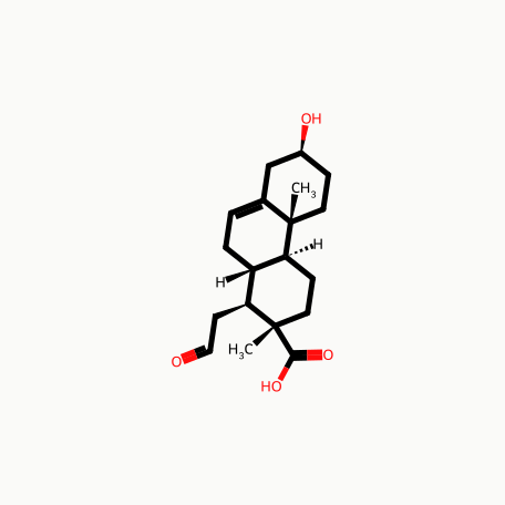 C[C@]12CC[C@H](O)CC1=CC[C@@H]1[C@@H]2CC[C@](C)(C(=O)O)[C@H]1CC=O